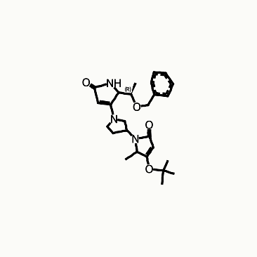 CC1C(OC(C)(C)C)=CC(=O)N1C1CCN(C2=CC(=O)NC2[C@@H](C)OCc2ccccc2)C1